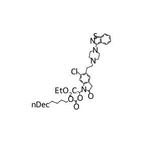 CCCCCCCCCCCCCCOC(=O)OC(C(=O)OCC)N1C(=O)Cc2cc(CCN3CCN(c4nsc5ccccc45)CC3)c(Cl)cc21